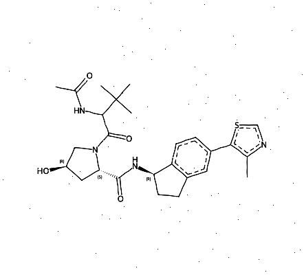 CC(=O)NC(C(=O)N1C[C@H](O)C[C@H]1C(=O)N[C@@H]1CCc2cc(-c3scnc3C)ccc21)C(C)(C)C